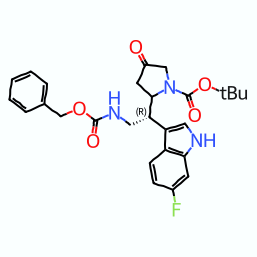 CC(C)(C)OC(=O)N1CC(=O)CC1[C@@H](CNC(=O)OCc1ccccc1)c1c[nH]c2cc(F)ccc12